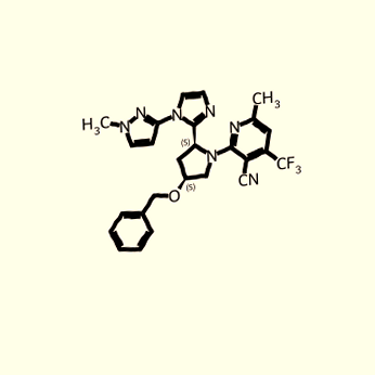 Cc1cc(C(F)(F)F)c(C#N)c(N2C[C@@H](OCc3ccccc3)C[C@H]2c2nccn2-c2ccn(C)n2)n1